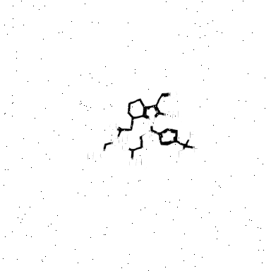 CCOC(=O)CC1CCCc2c(C=O)c(C)n([C@H](CCC(C)C)c3ccc(C(F)(F)F)cc3)c21